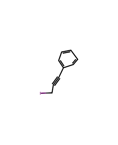 ICC#Cc1ccccc1